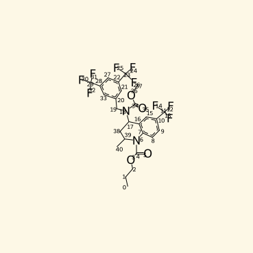 CCCOC(=O)N1c2ccc(C(F)(F)F)cc2C(N(Cc2cc(C(F)(F)F)cc(C(F)(F)F)c2)C(=O)OC)CC1C